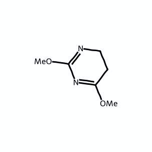 COC1=NC(OC)=NCC1